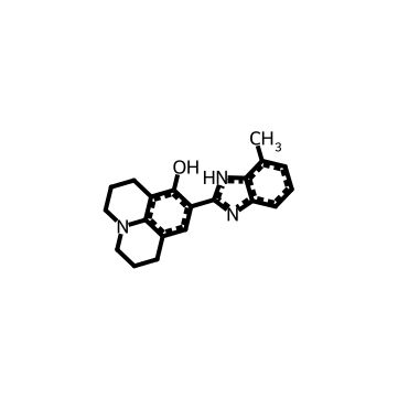 Cc1cccc2nc(-c3cc4c5c(c3O)CCCN5CCC4)[nH]c12